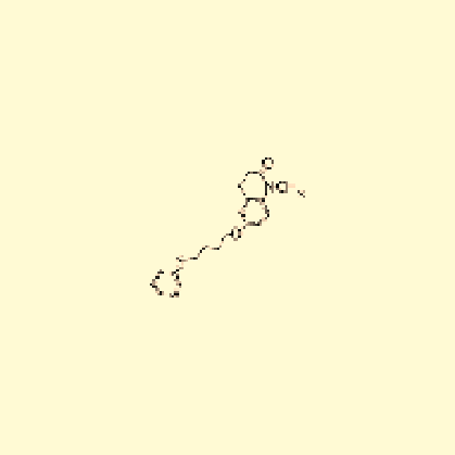 CN1C(=O)CCc2cc(OCCCCSc3ccccc3)ccc21